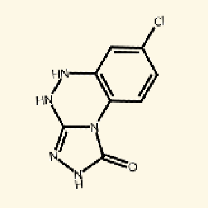 O=c1[nH]nc2n1-c1ccc(Cl)cc1NN2